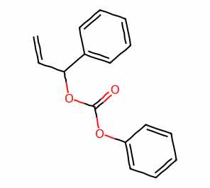 C=CC(OC(=O)Oc1ccccc1)c1ccccc1